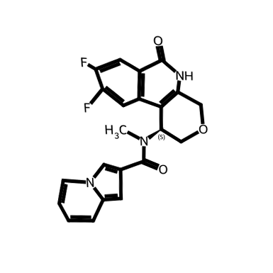 CN(C(=O)c1cc2ccccn2c1)[C@@H]1COCc2[nH]c(=O)c3cc(F)c(F)cc3c21